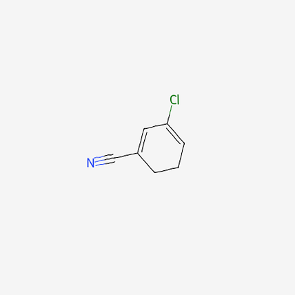 N#CC1=CC(Cl)=CCC1